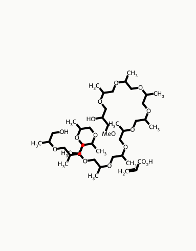 C=CC(=O)O.COCC(O)COC(C)COC(C)COC(C)COC(C)COC(C)COC(C)COC(C)COC(C)COC(C)COC(C)COC(C)COC(C)CO